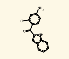 Nc1ccc(C(=O)c2cc3ccccc3[nH]2)c(Cl)c1